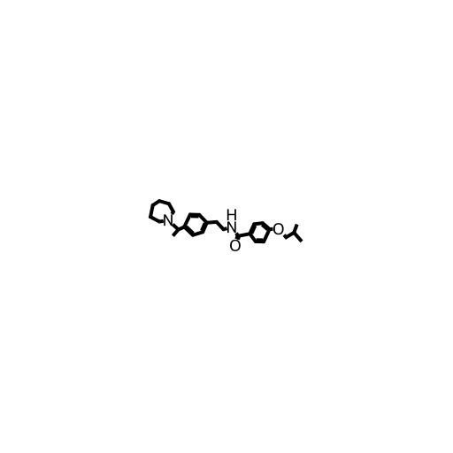 CC(C)COc1ccc(C(=O)NCCc2ccc(C(C)N3CCCCCC3)cc2)cc1